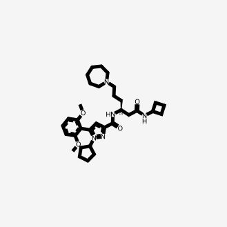 COc1cccc(OC)c1-c1cc(C(=O)N[C@@H](CCCN2CCCCCC2)CC(=O)NC2CCC2)nn1C1CCCC1